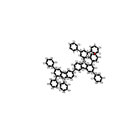 c1ccc(-c2cc(-c3ccccc3)nc(-n3c4ccc(-c5ccc6c(c5)c5cc(-c7ccccc7)cc(-c7ccccc7)c5n6-c5ccccc5)cc4c4cc(-c5ccccc5)cc(-c5ccccc5)c43)c2)cc1